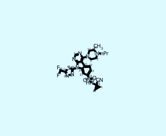 CCCN1CCN(c2ncnc3c2c2ccc(S(=O)(=O)NC4(C#N)CC4)cc2n3-c2nnc(C(F)F)s2)C[C@@H]1C